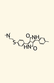 Cc1ccc(C2=C3C(=O)NC(c4ccc(SCCN(C)C)cc4)=C3C(=O)N2)cc1